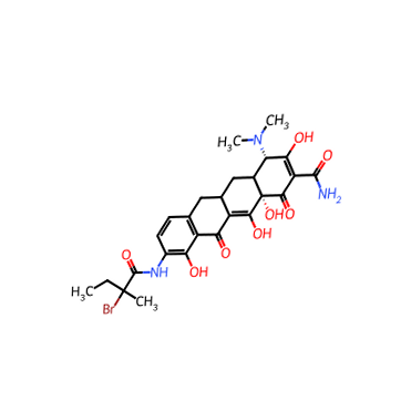 CCC(C)(Br)C(=O)Nc1ccc2c(c1O)C(=O)C1=C(O)[C@]3(O)C(=O)C(C(N)=O)=C(O)[C@@H](N(C)C)C3CC1C2